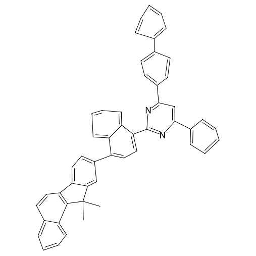 CC1(C)c2cc(-c3ccc(-c4nc(-c5ccccc5)cc(-c5ccc(-c6ccccc6)cc5)n4)c4ccccc34)ccc2-c2ccc3ccccc3c21